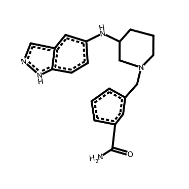 NC(=O)c1cccc(CN2CCCC(Nc3ccc4[nH]ncc4c3)C2)c1